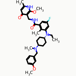 CCN(c1cc(F)cc(C(=O)NCc2c(OC)[nH]c(C)cc2=O)c1C)[C@H]1CC[C@H](N(C)Cc2cccc(OC)c2)CC1